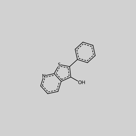 Oc1c(-c2ccccc2)sc2ncccc12